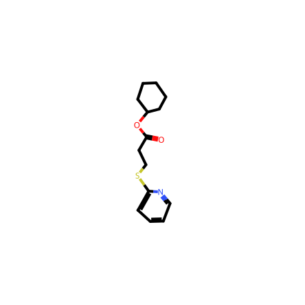 O=C(CCSc1ccccn1)OC1CCCCC1